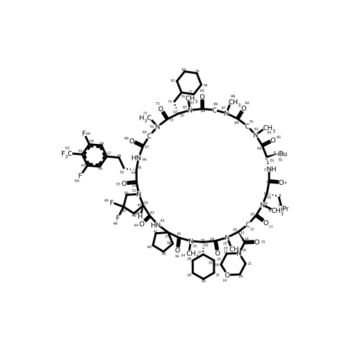 CC[C@H](C)[C@@H]1NC(=O)[C@H](CC(C)C)N(C)C(=O)C[C@@H](C(=O)N2CCOCC2)N(C)C(=O)[C@H](C2CCCCC2)N(C)C(=O)C2(CCCC2)NC(=O)[C@@H]2CC(F)(F)CN2C(=O)[C@H](CCc2cc(F)c(C(F)(F)F)c(F)c2)NC(=O)CN(C)C(=O)[C@H](CC2CCCCC2)N(C)C(=O)CN(C)C(=O)CN(C)C1=O